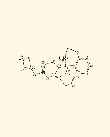 c1ccc2c(c1)CCNC2(C1CCCC1)C1CCN(CC2CNC2)CC1